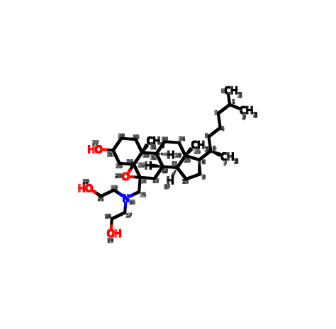 CC(C)CCC[C@@H](C)[C@H]1CC[C@H]2[C@@H]3CC4(CN(CCO)CCO)OC45CC(O)CC[C@]5(C)[C@H]3CC[C@]12C